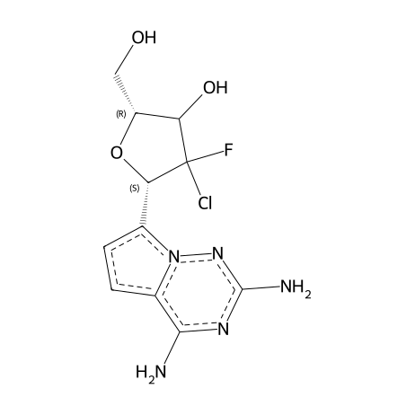 Nc1nc(N)c2ccc([C@@H]3O[C@H](CO)C(O)C3(F)Cl)n2n1